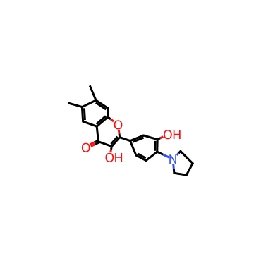 Cc1cc2oc(-c3ccc(N4CCCC4)c(O)c3)c(O)c(=O)c2cc1C